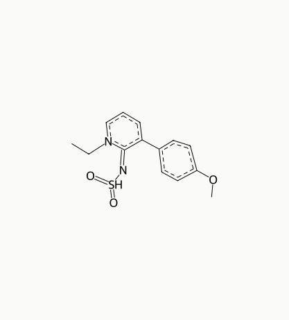 CCn1cccc(-c2ccc(OC)cc2)/c1=N/[SH](=O)=O